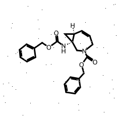 O=C(N[C@]12C[C@H]1C=CCN(C(=O)OCc1ccccc1)C2)OCc1ccccc1